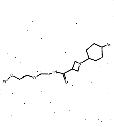 CCOCCOCCNC(=O)C1CN(C2CCC(C(C)=O)CC2)C1